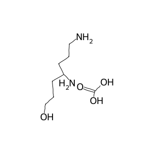 NCCCC(N)CCCO.O=C(O)O